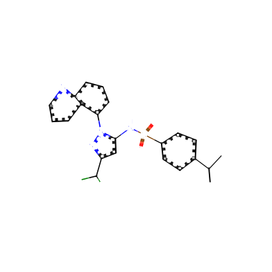 CC(C)c1ccc(S(=O)(=O)Nc2cc(C(F)F)nn2-c2cccc3ncccc23)cc1